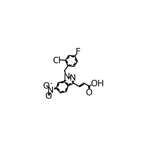 O=C(O)C=Cc1nn(Cc2ccc(F)cc2Cl)c2cc([N+](=O)[O-])ccc12